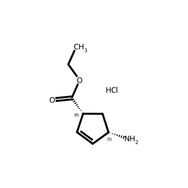 CCOC(=O)[C@H]1C=C[C@@H](N)C1.Cl